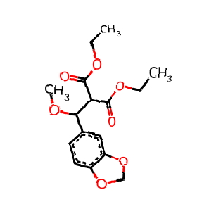 CCOC(=O)C(C(=O)OCC)C(OC)c1ccc2c(c1)OCO2